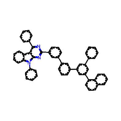 c1ccc(-c2cc(-c3cccc(-c4cccc(-c5nc(-c6ccccc6)c6c7ccccc7n(-c7ccccc7)c6n5)c4)c3)cc(-c3cccc4ccccc34)c2)cc1